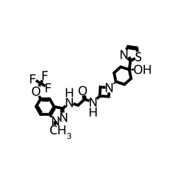 Cn1nc(NCC(=O)NC2CN([C@H]3CC[C@@](O)(c4nccs4)CC3)C2)c2cc(OC(F)(F)F)ccc21